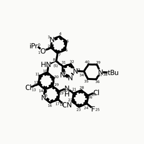 CC(C)Oc1ncccc1[C@H](Nc1cc(Cl)c2ncc(C#N)c(Nc3ccc(F)c(Cl)c3)c2c1)c1cn(C2CCN(C(C)(C)C)CC2)nn1